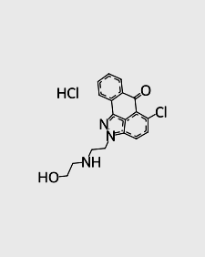 Cl.O=C1c2ccccc2-c2nn(CCNCCO)c3ccc(Cl)c1c23